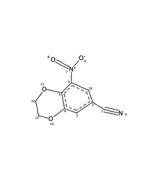 N#Cc1cc2c(c([N+](=O)[O-])c1)OCCO2